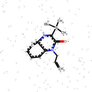 C=CCn1c(=O)c([Si](C)(C)C(C)(C)C)nc2ccccc21